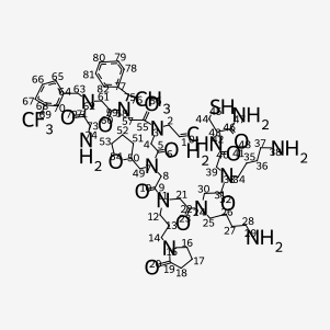 C=CCN(CC(=O)N(CC(=O)N(CCCN1CCCC1=O)CC(=O)N(CCCCN)CC(=O)N(CCCCN)CC(=O)NC(CS)C(N)=O)CC1CCCO1)C(=O)CN(C(=O)CN(Cc1cccc(C(F)(F)F)c1)C(=O)CN)C(C)c1ccccc1